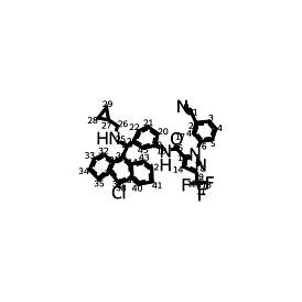 N#Cc1cccc(-n2nc(C(F)(F)F)cc2C(=O)Nc2cccc(C(NCC3CC3)c3c4ccccc4c(Cl)c4ccccc34)c2)c1